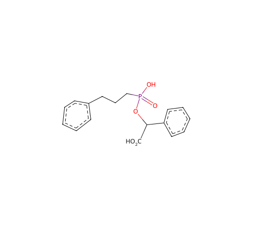 O=C(O)C(OP(=O)(O)CCCc1ccccc1)c1ccccc1